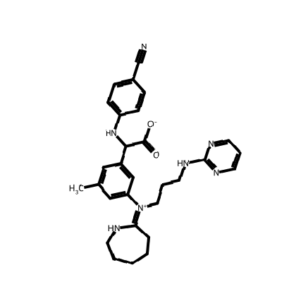 Cc1cc(C(Nc2ccc(C#N)cc2)C(=O)[O-])cc([N+](CCCNc2ncccn2)=C2CCCCCN2)c1